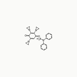 BN(c1ccccc1)c1ccccc1.O=C1C=C(N2CC2)C(=O)C(N2CC2)=C1N1CC1